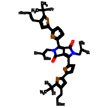 CCCCCCCCCCCCc1cc(-c2ccc(C3=C4C(=O)N(CC(CC)CCCC)C(c5ccc(-c6cc(CCCCCCCCCCCC)c(C(C)(CC)CC)s6)s5)=C4C(=O)N3CC(CC)CCCC)s2)sc1C(C)(C)CCC